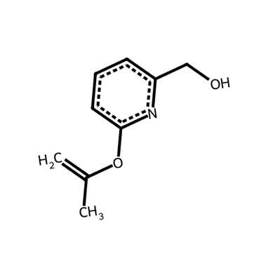 C=C(C)Oc1cccc(CO)n1